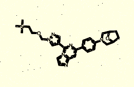 C[Si](C)(C)CCOCn1cc(-c2nc(-c3ccc(N4CC5CCC(C4)O5)cc3)cc3nccn23)cn1